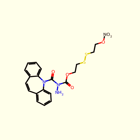 NN(C(=O)OCCSSCCO[N+](=O)[O-])C(=O)N1c2ccccc2C=Cc2ccccc21